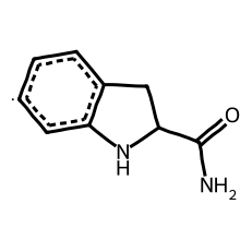 NC(=O)C1Cc2cc[c]cc2N1